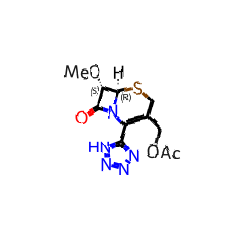 CO[C@H]1C(=O)N2C(c3nnn[nH]3)=C(COC(C)=O)CS[C@H]12